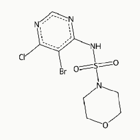 O=S(=O)(Nc1ncnc(Cl)c1Br)N1CCOCC1